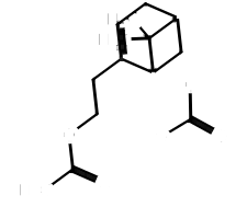 CC(=O)O.CC(=O)OCCC1=CCC2CC1C2(C)C